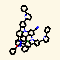 N#Cc1cc(-n2c3cc(-c4cccc(-c5ccccc5)n4)ccc3c3ccc(-c4cccc(-c5ccccc5)n4)cc32)c(-c2c(F)cccc2F)c(-n2c3cc(-c4cccc(-c5ccccc5)n4)ccc3c3ccc(-c4cccc(-c5ccccc5)n4)cc32)c1